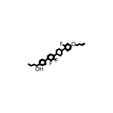 C=CCCOc1ccc(C2CCC(c3ccc(-c4ccc(C(O)CCC)cc4)c(F)c3F)CC2)c(F)c1